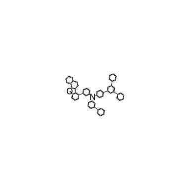 c1ccc(-c2cc(-c3ccccc3)cc(-c3ccc(N(c4cccc(-c5ccccc5)c4)c4cccc(-c5cccc6oc7c8ccccc8ccc7c56)c4)cc3)c2)cc1